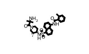 Cc1ccccc1C(=O)Nc1cccc2c(S(=O)(=O)N[C@@H]3CCN(C(=O)C(C)(C)N)C[C@H]3C)cccc12